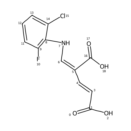 O=C(O)/C=C/C(=C/Nc1c(F)cccc1Cl)C(=O)O